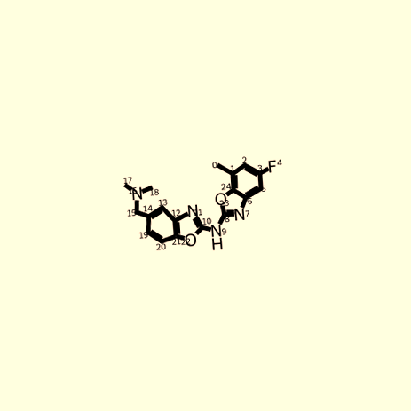 Cc1cc(F)cc2nc(Nc3nc4cc(CN(C)C)ccc4o3)oc12